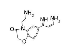 N=C(/C=C\N)c1ccc2c(c1)N(CCN)C(=O)CO2